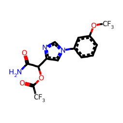 NC(=O)C(OC(=O)C(F)(F)F)c1cn(-c2cccc(OC(F)(F)F)c2)cn1